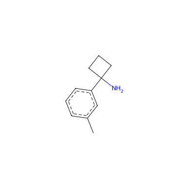 Cc1cccc(C2(N)CCC2)c1